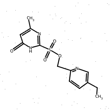 CCc1ccc(COS(=O)(=O)c2nc(C)cc(=O)[nH]2)nc1